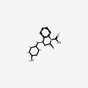 CCC(=O)N1c2ccccc2[C@H](CC2CCC(C(C)C)CC2)CC1C